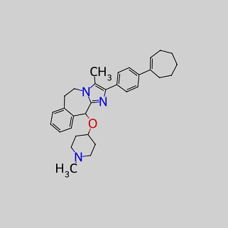 Cc1c(-c2ccc(C3=CCCCCC3)cc2)nc2n1CCc1ccccc1C2OC1CCN(C)CC1